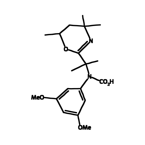 COc1cc(OC)cc(N(C(=O)O)C(C)(C)C2=NC(C)(C)CC(C)O2)c1